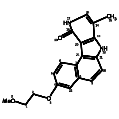 COCCOc1ccc2c(ccc3[nH]c4c(C)c[nH]c(=O)c4c32)c1